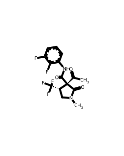 CC(=O)[C@@]1(C(=O)Nc2cccc(F)c2F)C(=O)N(C)C[C@@H]1C(F)(F)F